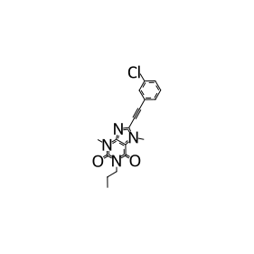 CCCn1c(=O)c2c(nc(C#Cc3cccc(Cl)c3)n2C)n(C)c1=O